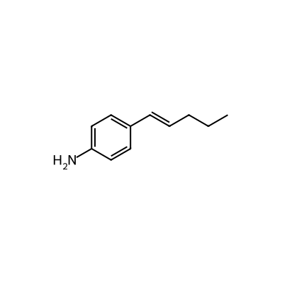 CCCC=Cc1ccc(N)cc1